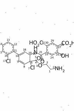 NCCOC(=O)C1(Cl)C=CC(c2ccccc2Cl)=CC1NC(=O)c1cc(O)c(C(=O)O)cc1C(=O)O